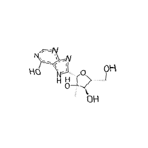 C[C@@]1(O)[C@H](O)[C@@H](CO)O[C@H]1c1nc2ncnc(O)c2[nH]1